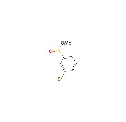 COS(=O)c1cccc(Br)c1